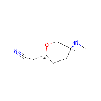 CN[C@H]1CC[C@H](CC#N)OC1